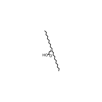 CCCCCCCCCCN(CCCCCCCCCC)CC(=O)O